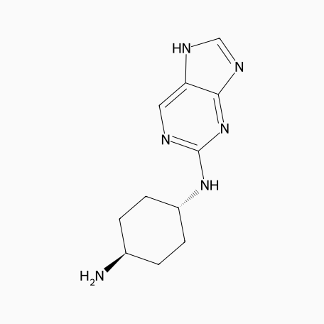 N[C@H]1CC[C@H](Nc2ncc3[nH]cnc3n2)CC1